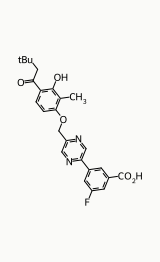 Cc1c(OCc2cnc(-c3cc(F)cc(C(=O)O)c3)cn2)ccc(C(=O)CC(C)(C)C)c1O